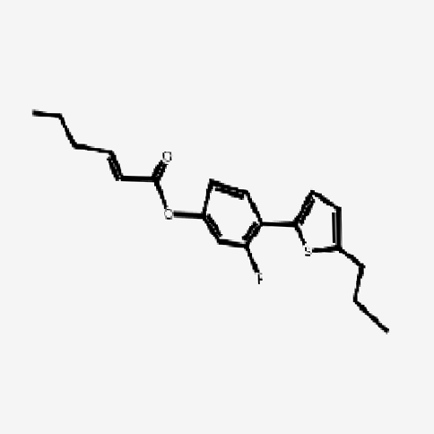 CCCC=CC(=O)Oc1ccc(-c2ccc(CCC)s2)c(F)c1